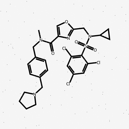 CN(Cc1ccc(CN2CCCC2)cc1)C(=O)c1coc(CN(C2CC2)S(=O)(=O)c2c(Cl)cc(Cl)cc2Cl)n1